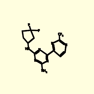 Nc1nc(NC2CCC(F)(F)C2)nc(-c2ccnc(C(F)(F)F)n2)n1